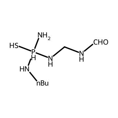 CCCCN[PH](N)(S)NCNC=O